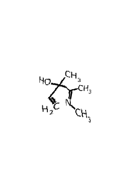 C=CC(C)(O)C(C)=NC